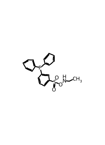 CCNOS(=O)(=O)c1cccc(P(c2ccccc2)c2ccccc2)c1